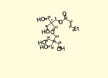 CCC=CC(=O)OCC(CO)(CO)COCC(CO)(CO)CO